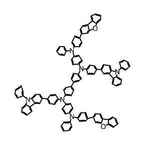 c1ccc(N(c2ccc(-c3ccc4c(c3)oc3ccccc34)cc2)c2ccc(N(c3ccc(-c4ccc(N(c5ccc(-c6ccc7c(c6)c6ccccc6n7-c6ccccc6)cc5)c5ccc(N(c6ccccc6)c6ccc(-c7ccc8c(c7)oc7ccccc78)cc6)cc5)cc4)cc3)c3ccc(-c4ccc5c(c4)c4ccccc4n5-c4ccccc4)cc3)cc2)cc1